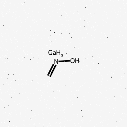 C=NO.[GaH3]